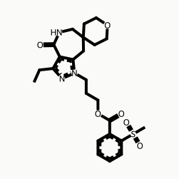 CCc1nn(CCCOC(=O)c2ccccc2S(C)(=O)=O)c2c1C(=O)NCC1(CCOCC1)C2